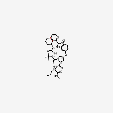 CCC[C@H](NC(=O)[C@@H]1C[C@@H](Oc2ccc(Cl)cn2)CN1C(=O)[C@@H](NC(=O)[C@@H](NC(=O)c1cnccn1)C1CCCCC1)C(C)(C)C)C(=O)NC